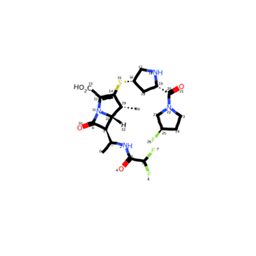 CC(NC(=O)C(F)F)[C@H]1C(=O)N2C(C(=O)O)=C(S[C@@H]3CN[C@H](C(=O)N4CC[C@@H](F)C4)C3)[C@H](C)[C@H]12